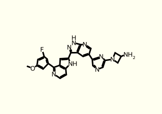 COc1cc(F)cc(-c2nccc3[nH]c(-c4n[nH]c5ncc(-c6cncc(N7CC(N)C7)n6)cc45)cc23)c1